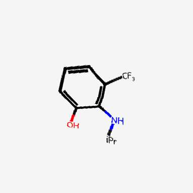 CC(C)Nc1c(O)cccc1C(F)(F)F